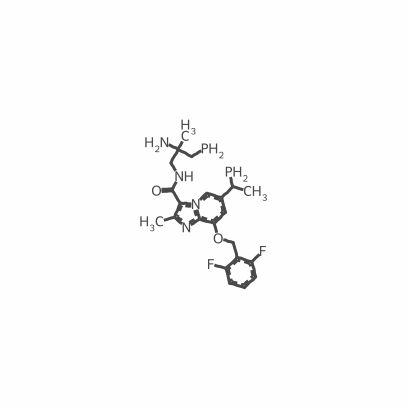 Cc1nc2c(OCc3c(F)cccc3F)cc(C(C)P)cn2c1C(=O)NCC(C)(N)CP